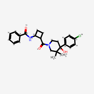 CC1(C)CN(C(=O)C2CCC2NC(=O)c2ccccc2)CCC1(O)c1ccc(Cl)cc1